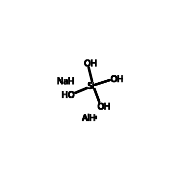 O[Si](O)(O)O.[AlH].[NaH]